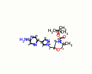 C[C@@H]1CO[C@@H](Cn2cc(-c3cnc(N)cn3)cn2)CN1C(=O)OC(C)(C)C